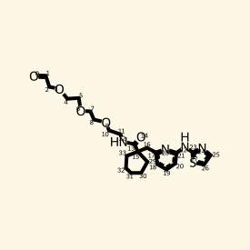 O=CCOCCOCCOCCNC(=O)C1(Cc2cccc(Nc3nccs3)n2)CCCCC1